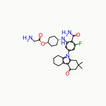 CC1(C)CC(=O)c2c3c(n(-c4cc(F)c(C(N)=O)c(N[C@H]5CC[C@H](OC(=O)CN)CC5)c4)c2C1)CCCC3